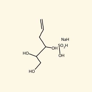 C=CCC(O)C(O)CO.O=S(=O)(O)O.[NaH]